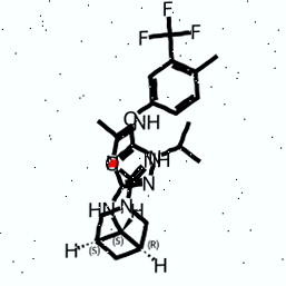 CC(=N)OC(=N)N1C[C@H]2C[C@@H](C1)[C@@H]2Nc1nc(Oc2ccc(C)c(C(F)(F)F)c2)n(C(C)C)n1